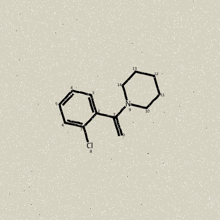 C=C(c1ccccc1Cl)N1CCCCC1